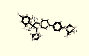 C[C@@H](N1CCN(c2ccc(-n3cn[nH]c3=O)cc2)CC1)[C@](O)(Cn1cncn1)c1ccc(F)cc1F